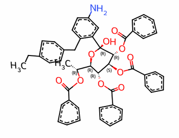 CCc1ccc(Cc2ccc(N)cc2[C@@]2(O)O[C@H]([C@@H](C)OC(=O)c3ccccc3)[C@@H](OC(=O)c3ccccc3)[C@H](OC(=O)c3ccccc3)[C@H]2OC(=O)c2ccccc2)cc1